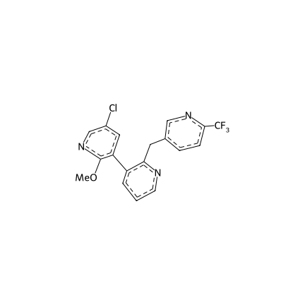 COc1ncc(Cl)cc1-c1cccnc1Cc1ccc(C(F)(F)F)nc1